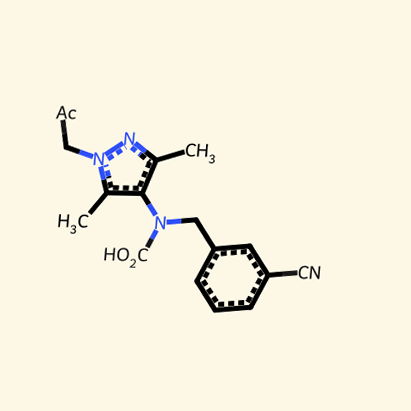 CC(=O)Cn1nc(C)c(N(Cc2cccc(C#N)c2)C(=O)O)c1C